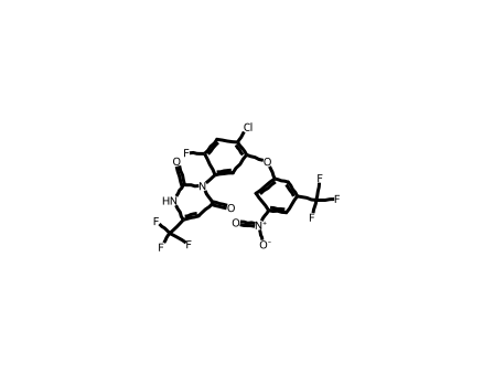 O=c1cc(C(F)(F)F)[nH]c(=O)n1-c1cc(Oc2cc([N+](=O)[O-])cc(C(F)(F)F)c2)c(Cl)cc1F